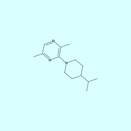 Cc1cnc(C)c(N2CCC(C(C)C)CC2)n1